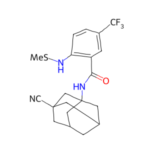 CSNc1ccc(C(F)(F)F)cc1C(=O)NC12CC3CC(CC(C#N)(C3)C1)C2